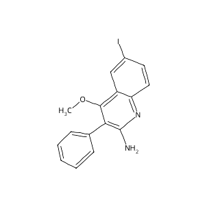 COc1c(-c2ccccc2)c(N)nc2ccc(I)cc12